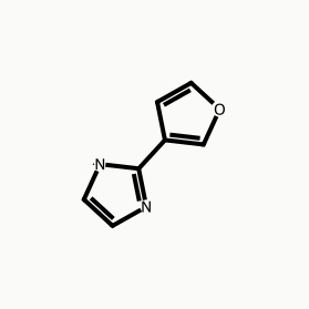 C1=CN=C(c2ccoc2)[N]1